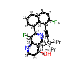 CC(C)[Si](C#Cc1c(F)ccc2cccc(-c3ncc4c(O)ccnc4c3F)c12)(C(C)C)C(C)C